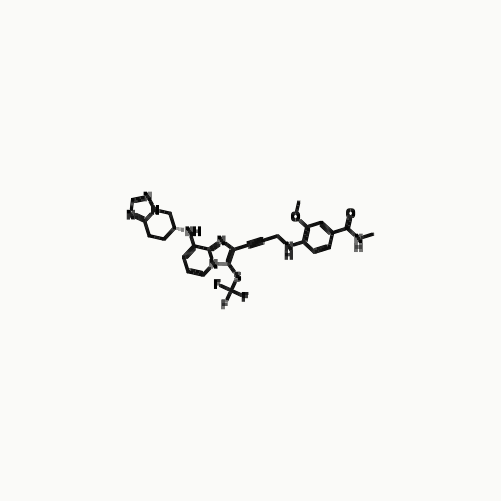 CNC(=O)c1ccc(NCC#Cc2nc3c(N[C@@H]4CCc5ncnn5C4)cccn3c2SC(F)(F)F)c(OC)c1